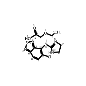 CCOCC(=O)O.Clc1ccc2nsnc2c1NC1=NCCN1